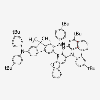 CC(C)(C)c1ccc(Nc2cc3c(cc2-c2c4c(cc5c2oc2ccccc25)N(c2ccc(C(C)(C)C)cc2-c2ccccc2)c2ccc(C(C)(C)C)cc2B4)-c2ccc(N(c4ccc(C(C)(C)C)cc4)c4ccc(C(C)(C)C)cc4)cc2C3(C)C)cc1